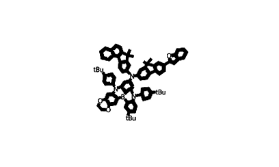 CC(C)(C)c1ccc(N2c3ccc(C(C)(C)C)cc3B3c4cc5c(cc4N(c4ccc(C(C)(C)C)cc4)c4cc(N(c6ccc7c(c6)C(C)(C)c6cc(-c8cc9ccccc9o8)ccc6-7)c6ccc7c(c6)C(C)(C)c6ccc8ccccc8c6-7)cc2c43)OCCO5)cc1